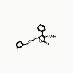 COC1=C(c2ccccc2)C(CCOCc2ccccc2)OC1=O